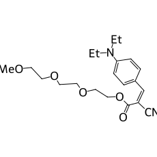 CCN(CC)c1ccc(C=C(C#N)C(=O)OCCOCCOCCOC)cc1